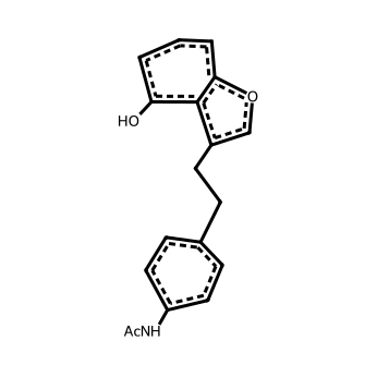 CC(=O)Nc1ccc(CCc2coc3cccc(O)c23)cc1